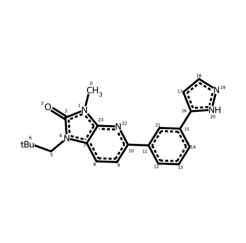 Cn1c(=O)n(CC(C)(C)C)c2ccc(-c3cccc(-c4ccn[nH]4)c3)nc21